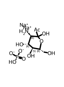 CC(=O)C1(O)O[C@H](CO)[C@@H](O)[C@H](O)[C@H]1N.O=P([O-])([O-])O.[Na+].[Na+]